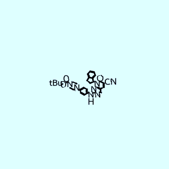 CC(C)(C)OC(=O)N1CCN(c2ccc(Nc3ncc4cc(C#N)c(=O)n(C5CCc6ccccc65)c4n3)cc2)CC1